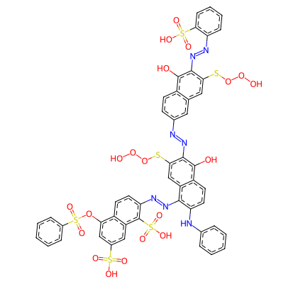 O=S(=O)(O)c1cc(OS(=O)(=O)c2ccccc2)c2ccc(N=Nc3c(Nc4ccccc4)ccc4c(O)c(N=Nc5ccc6c(O)c(N=Nc7ccccc7S(=O)(=O)O)c(SOOO)cc6c5)c(SOOO)cc34)c(S(=O)(=O)O)c2c1